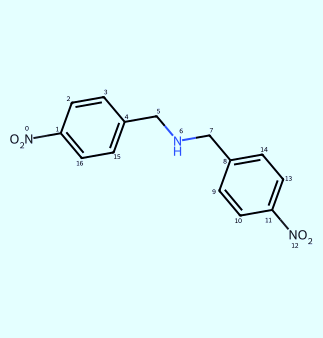 O=[N+]([O-])c1ccc(CNCc2ccc([N+](=O)[O-])cc2)cc1